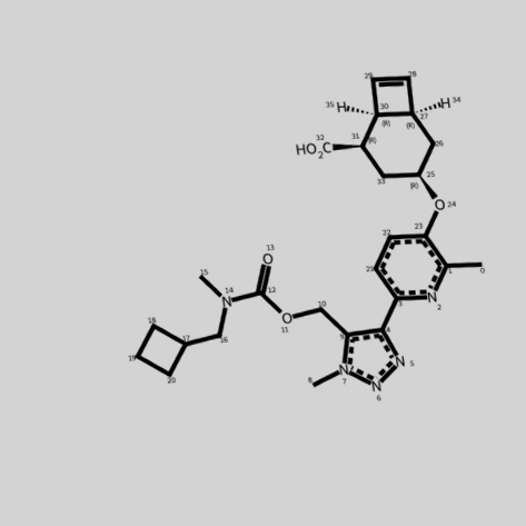 Cc1nc(-c2nnn(C)c2COC(=O)N(C)CC2CCC2)ccc1O[C@@H]1C[C@@H]2C=C[C@@H]2[C@H](C(=O)O)C1